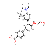 CCN(CC)c1ccc(-c2cc(-c3ccc(C(=O)O)cc3)ccc2OCCO)cc1[Si](C)(C)C